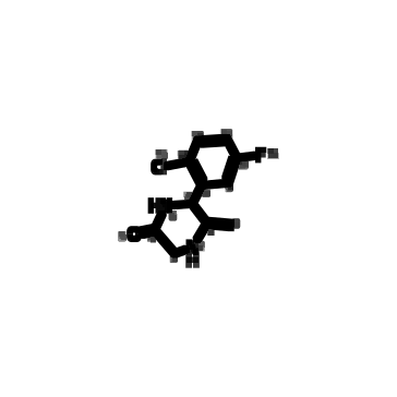 C=C1NCC(=O)NC1c1cc(F)ccc1Cl